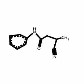 CC(C#N)CC(=O)Nc1ccccc1